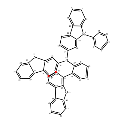 c1ccc(-n2c3ccccc3c3ccc(N(c4ccc5c(c4)sc4ccccc45)c4ccccc4-c4cccc5c4oc4ccccc45)cc32)cc1